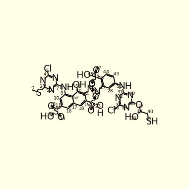 CSc1nc(Cl)nc(Nc2cc(S(=O)(=O)O)cc3cc(S(=O)(=O)O)c(N=Nc4cc(Nc5nc(Cl)nc(OC(O)CS)n5)ccc4S(=O)(=O)O)c(O)c23)n1